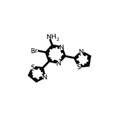 Nc1nc(-c2nccs2)nc(-c2nccs2)c1Br